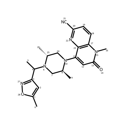 Cc1cc(C(C)N2C[C@H](C)N(c3cc(=O)n(C)c4ccc(C#N)nc34)C[C@H]2C)no1